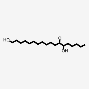 CCCCCC(O)C(O)CCCCCCCCCCCO